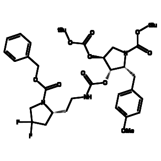 COc1ccc(C[C@@H]2[C@H](OC(=O)NCC[C@@H]3CC(F)(F)CN3C(=O)OCc3ccccc3)[C@@H](OC(=O)OC(C)(C)C)CN2C(=O)OC(C)(C)C)cc1